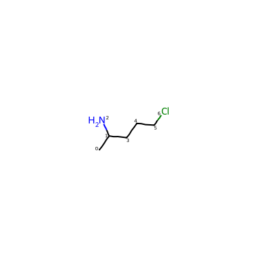 CC(N)CCCCl